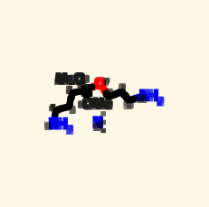 CO[Si](CCCN)(OC)OCCCN.[N]